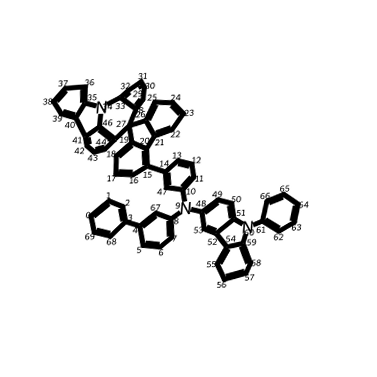 c1ccc(-c2cccc(N(c3cccc(-c4cccc5c4-c4ccccc4C54c5ccccc5-n5c6ccccc6c6cccc4c65)c3)c3ccc4c(c3)c3ccccc3n4-c3ccccc3)c2)cc1